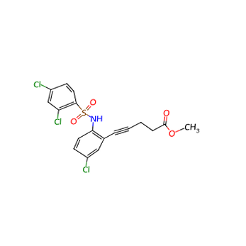 COC(=O)CCC#Cc1cc(Cl)ccc1NS(=O)(=O)c1ccc(Cl)cc1Cl